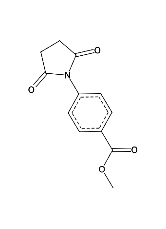 COC(=O)c1ccc(N2C(=O)CCC2=O)cc1